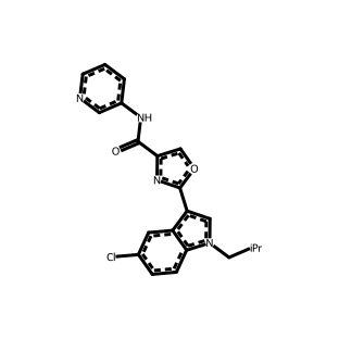 CC(C)Cn1cc(-c2nc(C(=O)Nc3cccnc3)co2)c2cc(Cl)ccc21